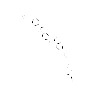 C=CC(=O)OCCCCCOc1ccc(C(=O)Oc2ccc(OC(=O)c3ccc(OC)cc3)cc2)cc1